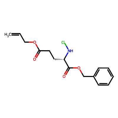 C=CCOC(=O)CC[C@H](NCl)C(=O)OCc1ccccc1